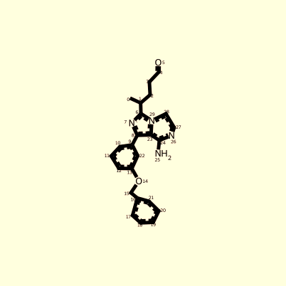 CC(CCC=O)c1nc(-c2cccc(OCc3ccccc3)c2)c2c(N)nccn12